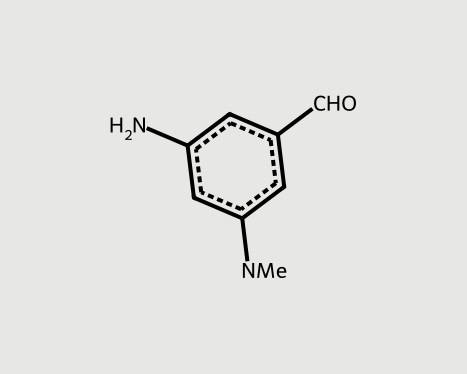 CNc1cc(N)cc(C=O)c1